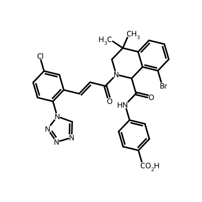 CC1(C)CN(C(=O)C=Cc2cc(Cl)ccc2-n2cnnn2)C(C(=O)Nc2ccc(C(=O)O)cc2)c2c(Br)cccc21